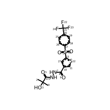 CC(C)(O)C(=O)NNC(=O)c1csc(S(=O)(=O)c2ccc(C(F)(F)F)cc2)c1